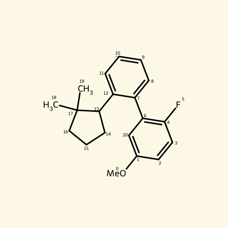 COc1ccc(F)c(-c2cc[c]cc2C2CCCC2(C)C)c1